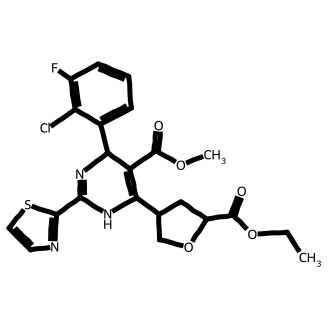 CCOC(=O)C1CC(C2=C(C(=O)OC)C(c3cccc(F)c3Cl)N=C(c3nccs3)N2)CO1